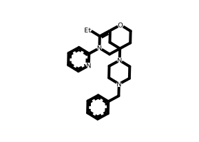 CCC1=C2CC(N3CCN(Cc4ccccc4)CC3)(CCO2)CN1c1ccccn1